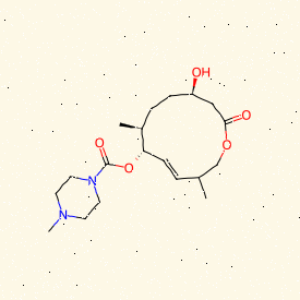 CC1/C=C/[C@H](OC(=O)N2CCN(C)CC2)[C@@H](C)CC[C@@H](O)CC(=O)OC1